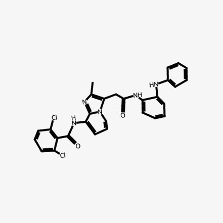 Cc1nc2c(NC(=O)c3c(Cl)cccc3Cl)cccn2c1CC(=O)Nc1ccccc1Nc1ccccc1